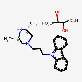 C[C@@H]1CN(CCCn2c3ccccc3c3ccccc32)C[C@H](C)N1.O=C(O)C(O)C(O)C(=O)O